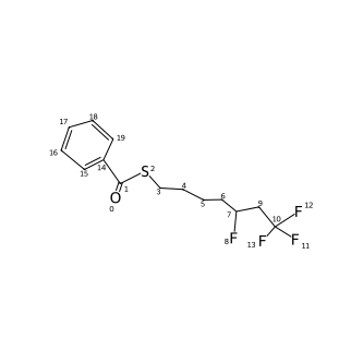 O=C(SCCCCC(F)CC(F)(F)F)c1ccccc1